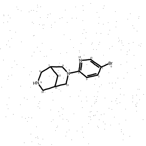 Brc1ccc(N2CC3CNCC(C3)C2)nc1